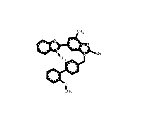 CCCc1nc2c(C)cc(-c3nc4ccccc4n3C)cc2n1Cc1ccc(-c2ccccc2OC=O)cc1